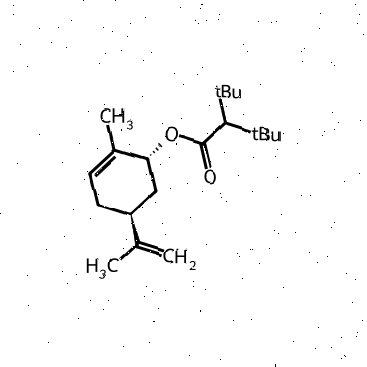 C=C(C)[C@H]1CC=C(C)[C@H](OC(=O)C(C(C)(C)C)C(C)(C)C)C1